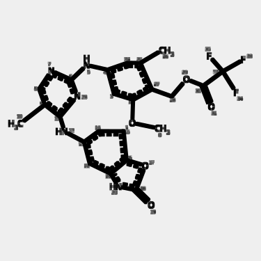 COc1cc(Nc2ncc(C)c(Nc3ccc4oc(=O)[nH]c4c3)n2)cc(C)c1COC(=O)C(F)(F)F